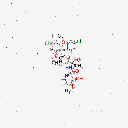 CCOc1cc(Cl)ccc1C(c1ccc(Cl)cc1OCC)[C@H](C)OC[C@](C)(C=O)NC(=O)c1nccc(OC)c1O